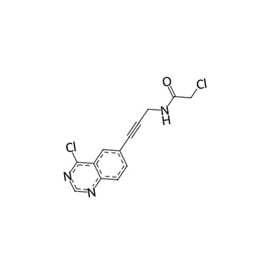 O=C(CCl)NCC#Cc1ccc2ncnc(Cl)c2c1